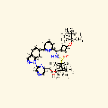 CC(C)(C)[S@@+]([O-])N[C@H](c1cccc(-c2ccc3cnn(-c4cncc(CO[Si](C)(C)C(C)(C)C)n4)c3c2)n1)C1CC(O[Si](C)(C)C(C)(C)C)C1